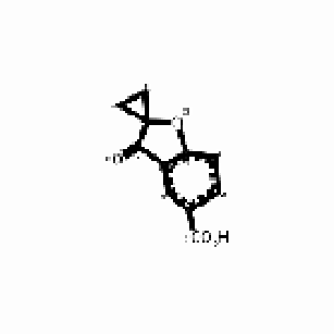 O=C(O)c1ccc2c(c1)C(=O)C1(CC1)O2